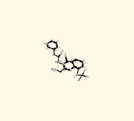 CCc1nc2c(OC(F)(F)F)cccc2c(=O)n1NC(=O)Cc1cccnc1